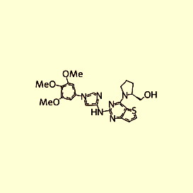 COc1cc(-n2cnc(Nc3nc(N4CCC[C@H]4CO)c4sccc4n3)c2)cc(OC)c1OC